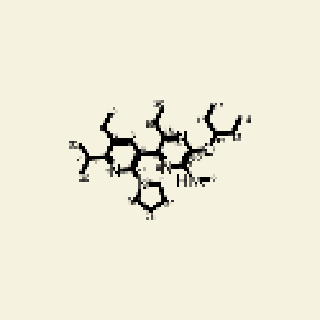 CCc1cc(-c2nc(NC)c(OC(CC)CC)nc2CC)c(N2CCCC2)nc1C(C)C